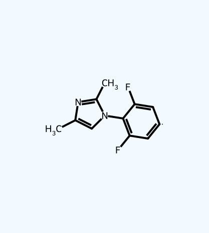 Cc1cn(-c2c(F)c[c]cc2F)c(C)n1